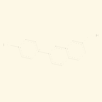 O=C(O)c1ccc2ccc(-c3ccc(C(F)(F)F)cc3)cc2c1